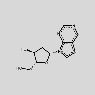 OC[C@H]1O[C@@H](n2cnc3cncnc32)C[C@@H]1O